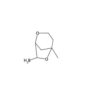 BC1OC2(C)CCOC1C2